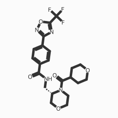 O=C(NC[C@H]1COCCN1C(=O)C1CCOCC1)c1ccc(-c2noc(C(F)(F)F)n2)cc1